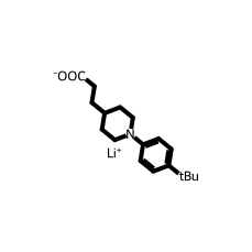 CC(C)(C)c1ccc(N2CCC(CCC(=O)[O-])CC2)cc1.[Li+]